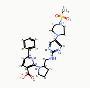 CS(=O)(=O)N1CCN(c2cnc(NCC3CCCN3c3nc(-c4ccccc4)ccc3C(=O)O)nc2)CC1